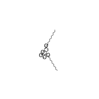 CCCCCCCCCCOc1ccc2c(OCCCCCCCCCC)c(OC)c(=O)oc2c1